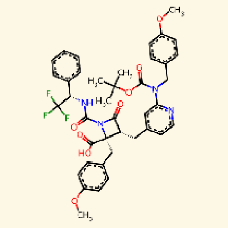 COc1ccc(CN(C(=O)OC(C)(C)C)c2cc(C[C@H]3C(=O)N(C(=O)N[C@@H](c4ccccc4)C(F)(F)F)[C@]3(Cc3ccc(OC)cc3)C(=O)O)ccn2)cc1